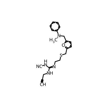 C#CCN/C(=N/CCSCc1ccc(CN(C)c2ccccc2)o1)NC#N